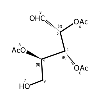 CC(=O)O[C@@H]([C@H](C=O)OC(C)=O)[C@@H](CO)OC(C)=O